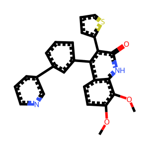 COc1ccc2c(-c3cccc(-c4cccnc4)c3)c(-c3cccs3)c(=O)[nH]c2c1OC